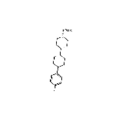 CCCCC[Si@H]1CC[C@H]([C@H]2CC[C@H](c3ccc(F)cc3)CC2)CC1